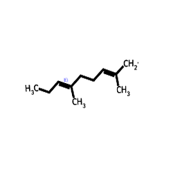 [CH2]C(C)=CCC/C(C)=C/CC